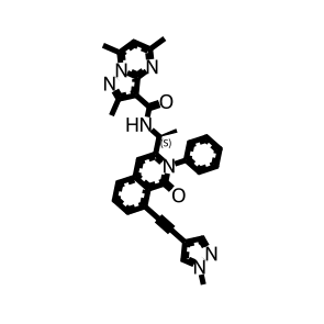 Cc1cc(C)n2nc(C)c(C(=O)N[C@@H](C)c3cc4cccc(C#Cc5cnn(C)c5)c4c(=O)n3-c3ccccc3)c2n1